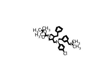 CN(C)Cc1cccc(CN(CC2CN(C(=O)OC(C)(C)C)CC2Cc2ccccc2)c2ccc(Cl)cc2)c1